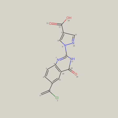 C=C(Cl)c1ccc2nc(-n3cc(C(=O)O)cn3)[nH]c(=O)c2c1